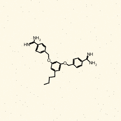 CCCCc1cc(OCc2ccc(C(=N)N)cc2)cc(OCc2ccc(C(=N)N)cc2)c1